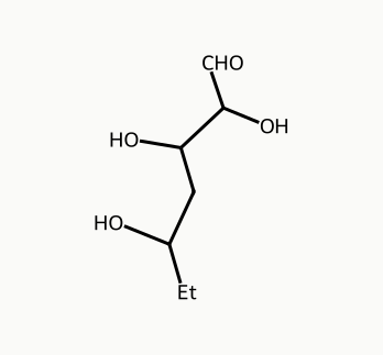 CCC(O)CC(O)C(O)C=O